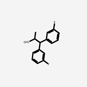 CC(C=O)C(c1cccc(F)c1)c1cccc(F)c1